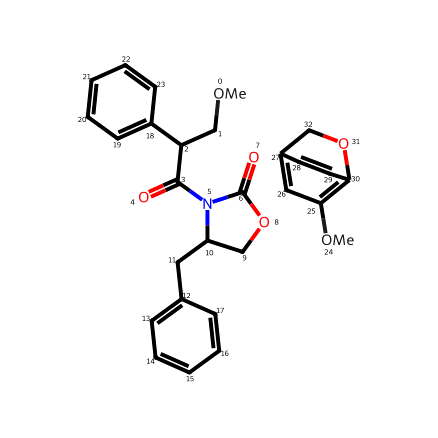 COCC(C(=O)N1C(=O)OCC1Cc1ccccc1)c1ccccc1.COc1cc2ccc1OC2